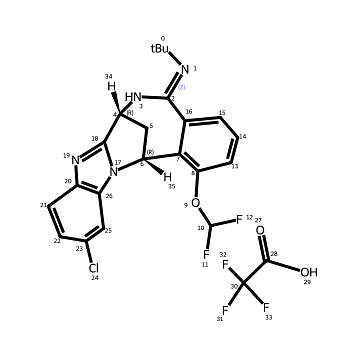 CC(C)(C)/N=C1\N[C@@H]2C[C@H](c3c(OC(F)F)cccc31)n1c2nc2ccc(Cl)cc21.O=C(O)C(F)(F)F